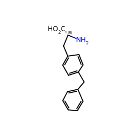 N[C@H](Cc1ccc(Cc2ccccc2)cc1)C(=O)O